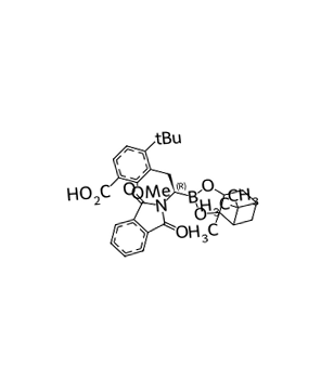 COc1c(C(=O)O)ccc(C(C)(C)C)c1C[C@@H](B1OC2CC3CC(C3(C)C)C2(C)O1)N1C(=O)c2ccccc2C1=O